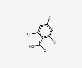 Cc1cc(Cl)nc(Cl)c1[NH+]([O-])O